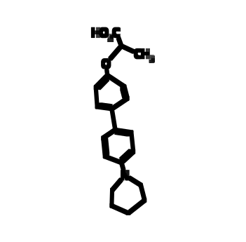 CC(Oc1ccc(-c2ccc(N3CCCCC3)cc2)cc1)C(=O)O